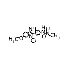 CCNC(=O)Nc1ccc(-c2c(N)c3ccc(OCC)cc3n2C2CCCC2)cc1